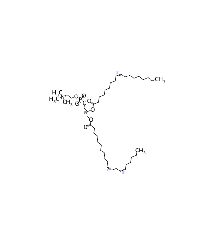 CCCCC/C=C\C/C=C\CCCCCCCCCC(=O)OC[C@H](COP(=O)([O-])OCC[N+](C)(C)C)OC(=O)CCCCCCC/C=C\CCCCCCCC